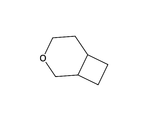 C1CC2CCC2CO1